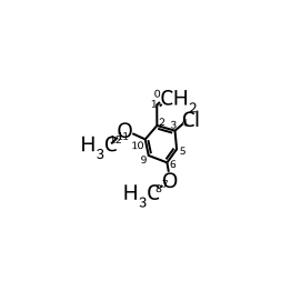 C=Cc1c(Cl)cc(OC)cc1OC